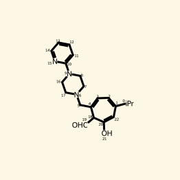 CC(C)C1=CC=C(CN2CCN(c3ccccn3)CC2)C(C=O)C(O)=C1